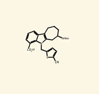 CCCCCCC1CCCc2c(n(Cc3ccc(C#N)s3)c3c(C(=O)O)cccc23)C1